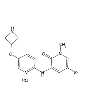 Cl.Cn1cc(Br)cc(Nc2ccc(OC3CNC3)cn2)c1=O